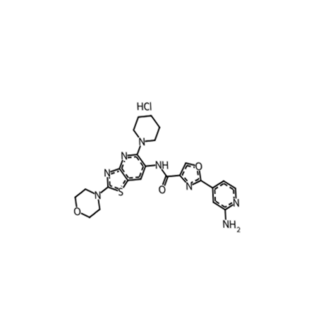 Cl.Nc1cc(-c2nc(C(=O)Nc3cc4sc(N5CCOCC5)nc4nc3N3CCCCC3)co2)ccn1